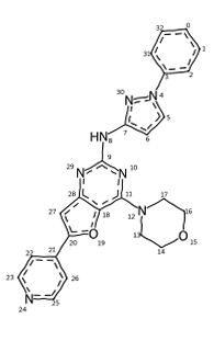 c1ccc(-n2ccc(Nc3nc(N4CCOCC4)c4oc(-c5ccncc5)cc4n3)n2)cc1